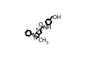 Cc1nn(-c2ccccc2)c2sc(C(=O)Nc3ccc(CO)cc3)cc12